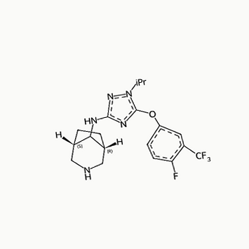 CC(C)n1nc(NC2[C@@H]3CC[C@H]2CNC3)nc1Oc1ccc(F)c(C(F)(F)F)c1